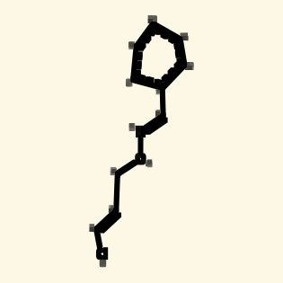 ClC=CCON=Cc1cc[c]cc1